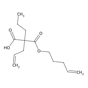 C=CCCCOC(=O)C(CC=C)(CCC)C(=O)O